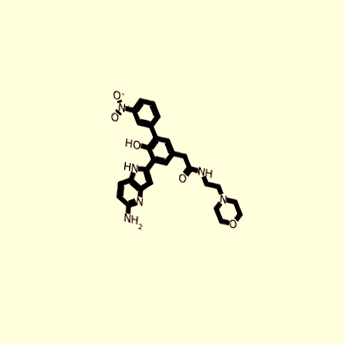 Nc1ccc2[nH]c(-c3cc(CC(=O)NCCN4CCOCC4)cc(-c4cccc([N+](=O)[O-])c4)c3O)cc2n1